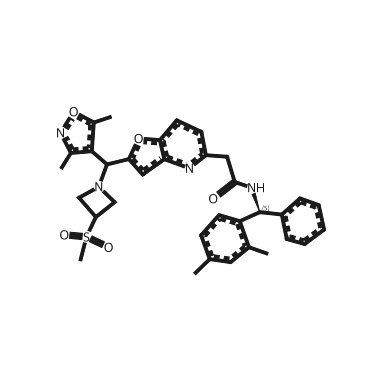 Cc1ccc([C@@H](NC(=O)Cc2ccc3oc(C(c4c(C)noc4C)N4CC(S(C)(=O)=O)C4)cc3n2)c2ccccc2)c(C)c1